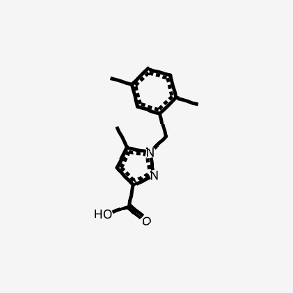 Cc1ccc(C)c(Cn2nc(C(=O)O)cc2C)c1